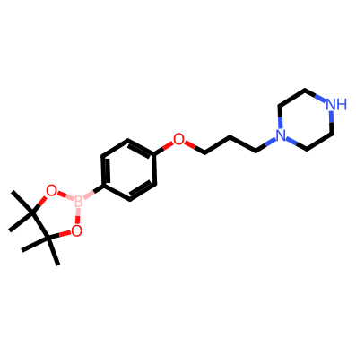 CC1(C)OB(c2ccc(OCCCN3CCNCC3)cc2)OC1(C)C